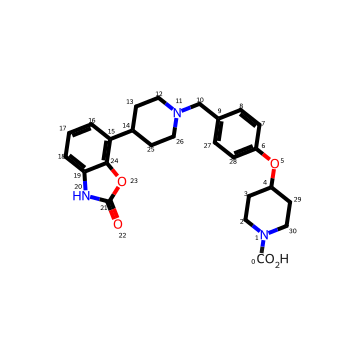 O=C(O)N1CCC(Oc2ccc(CN3CCC(c4cccc5[nH]c(=O)oc45)CC3)cc2)CC1